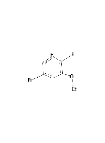 CCOc1cc(Br)cnc1I